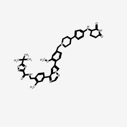 COc1cc(CN2CCC(c3ccc(NC4CCC(=O)NC4=O)cc3)CC2)ccc1-c1cc2c(-c3ccc(CNC(=O)c4noc(C(C)(C)C)n4)c(C)c3)ncnn2c1